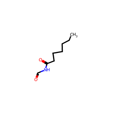 CCCCCCC(=O)NC=O